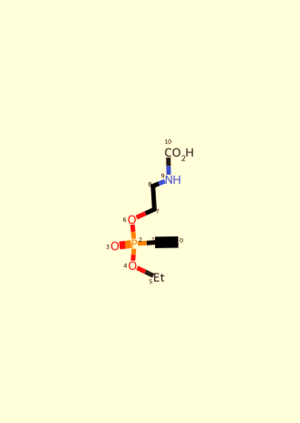 C#CP(=O)(OCC)OCCNC(=O)O